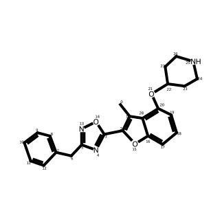 Cc1c(-c2nc(Cc3ccccc3)no2)oc2cccc(OC3CCNCC3)c12